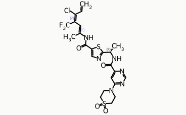 C=C/C(Cl)=C(\C=C(/C)NC(=O)c1cnc([C@@H](C)NC(=O)c2cc(N3CCS(=O)(=O)CC3)ncn2)s1)C(F)(F)F